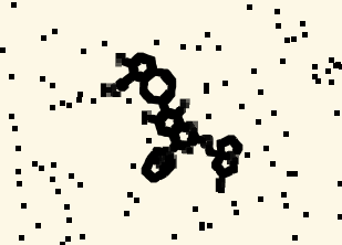 C#Cc1c(F)ccc2c1CC/C(c1c(F)cc3c(N4CC5CCC(C4)N5)nc(OC[C@@]45CCCN4C[C@H](F)C5)nc3c1F)=C\C=C/2